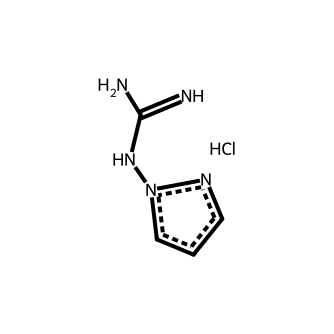 Cl.N=C(N)Nn1cccn1